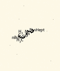 CCCCCCCc1ccc(-c2cncc(O[SiH2]CC(C)CCC(C)CCCC)n2)nc1